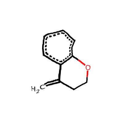 C=C1CCOc2ccccc21